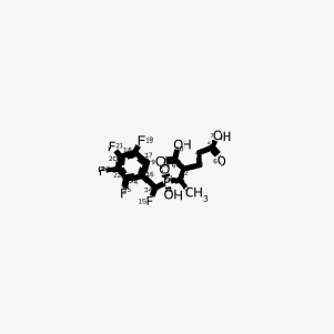 CC(C(CCC(=O)O)C(=O)O)P(=O)(O)C(F)c1cc(F)c(F)c(F)c1F